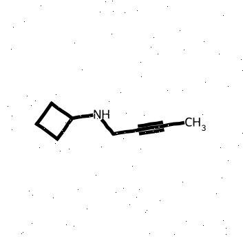 CC#CCNC1CCC1